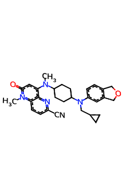 CN(c1cc(=O)n(C)c2ccc(C#N)nc12)C1CCC(N(CC2CC2)c2ccc3c(c2)COC3)CC1